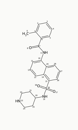 Cc1ccccc1C(=O)Nc1cccc2c(S(=O)(=O)NC3CCNCC3)cccc12